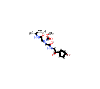 CC(C)[C@@H](NC(=O)CN(CC(=O)NCC(=O)c1ccc(Br)cc1)C(=O)OC(C)(C)C)C(=O)O